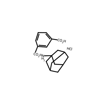 Cl.NC12CC3CC(CC(C3)C1)C2.O=C(O)c1cccc(C(=O)O)c1